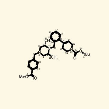 COC(=O)c1ccc(CN2CC(C)N(Cc3ccccc3C3=CCN(C(=O)OC(C)(C)C)CC3)[C@@H](C)C2)cc1